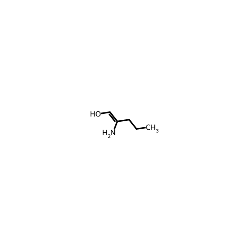 CCCC(N)=CO